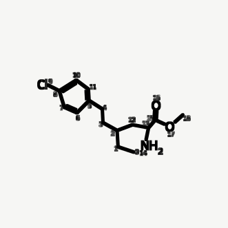 CCC(CCc1ccc(Cl)cc1)CC(N)C(=O)OC